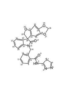 O=C(Nc1nncs1)c1ccccc1CN1C(=O)C2(COc3cc4c(cc32)OCO4)c2ccccc21